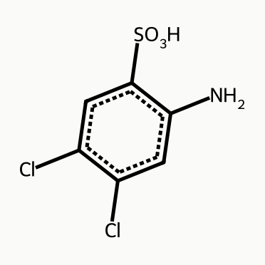 Nc1cc(Cl)c(Cl)cc1S(=O)(=O)O